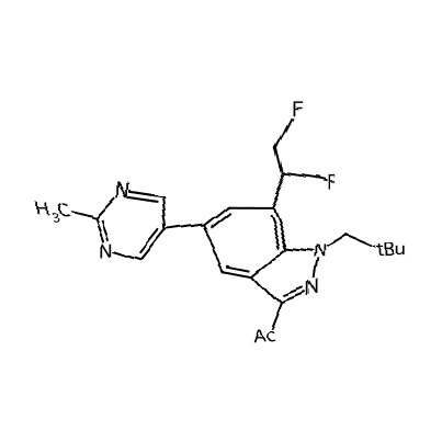 CC(=O)c1nn(CC(C)(C)C)c2c(C(F)CF)cc(-c3cnc(C)nc3)cc12